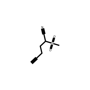 C#CCCC(C#N)S(C)(=O)=O